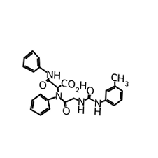 Cc1cccc(NC(=O)NCC(=O)N(c2ccccc2)C(C(=O)O)C(=O)Nc2ccccc2)c1